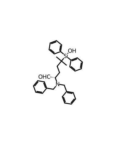 CC(C)(CC[C@@H](C=O)N(Cc1ccccc1)Cc1ccccc1)[Si](O)(c1ccccc1)c1ccccc1